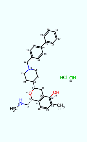 CNC[C@@H]1O[C@H](C2CCN(Cc3ccc(-c4ccccc4)cc3)CC2)Cc2c1ccc(C)c2O.Cl.Cl